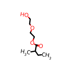 CCC(C)C(=O)OCCOCCO